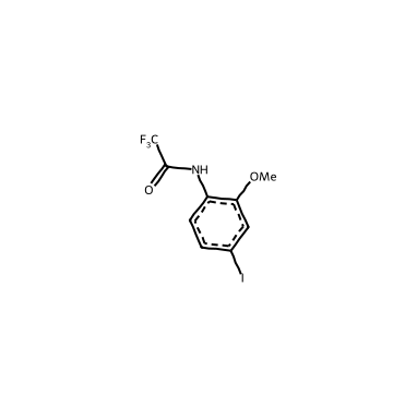 COc1cc(I)ccc1NC(=O)C(F)(F)F